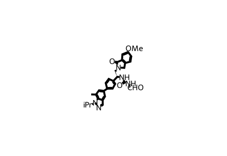 COc1ccc2c(c1)C(=O)N(C[C@H](NC(=O)NC=O)c1ccc(-c3cc(C)c4c(cnn4C(C)C)c3)cc1)C2